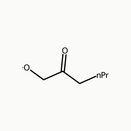 CCCCC(=O)C[O]